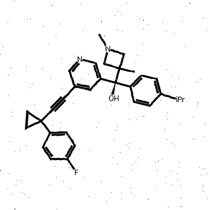 CC(C)c1ccc([C@](O)(c2cncc(C#CC3(c4ccc(F)cc4)CC3)c2)C2(C)CN(C)C2)cc1